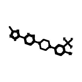 Cc1nsc(-c2ccc(N3CCN(c4ccc(Br)c(C(F)(F)F)c4)CC3)nn2)n1